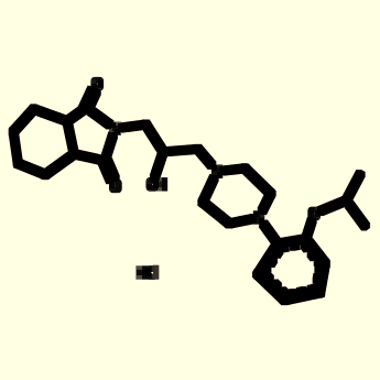 CC(C)Oc1ccccc1N1CCN(CC(O)CN2C(=O)C3CCCCC3C2=O)CC1.Cl